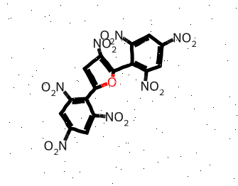 O=[N+]([O-])c1cc([N+](=O)[O-])c(-c2cc([N+](=O)[O-])c(-c3c([N+](=O)[O-])cc([N+](=O)[O-])cc3[N+](=O)[O-])o2)c([N+](=O)[O-])c1